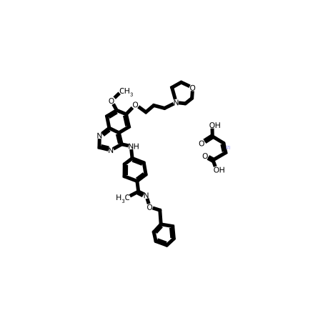 COc1cc2ncnc(Nc3ccc(C(C)=NOCc4ccccc4)cc3)c2cc1OCCCN1CCOCC1.O=C(O)/C=C\C(=O)O